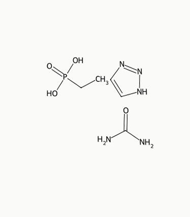 CCP(=O)(O)O.NC(N)=O.c1c[nH]nn1